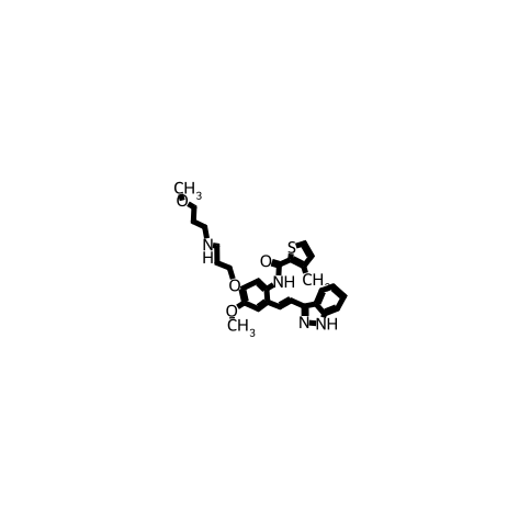 COCCCNCCCOc1cc(NC(=O)c2sccc2C)c(/C=C/c2n[nH]c3ccccc23)cc1OC